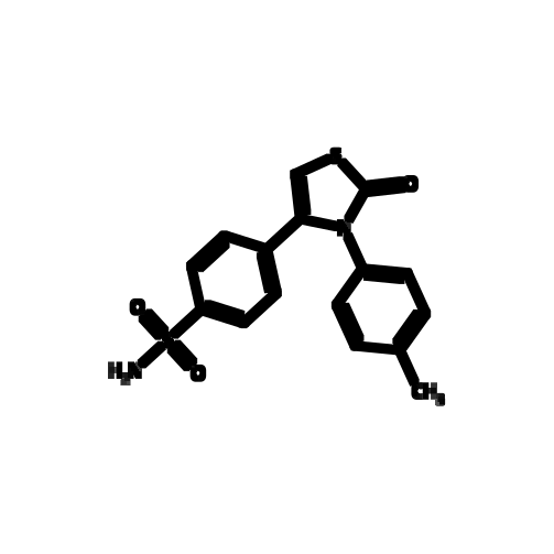 Cc1ccc(-n2c(-c3ccc(S(N)(=O)=O)cc3)csc2=O)cc1